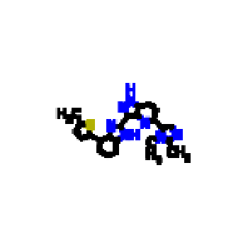 Cc1ccc(-c2cccc3[nH]c(-c4n[nH]c5ccc(-c6cnc(C)n6C)nc45)nc23)s1